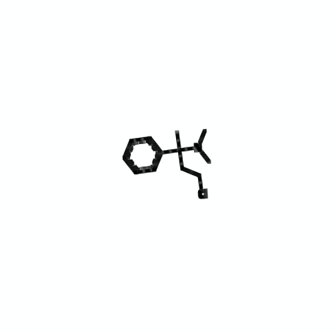 CN(C)C(C)(CCCl)c1ccccc1